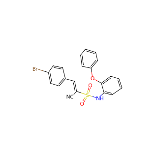 N#C/C(=C\c1ccc(Br)cc1)S(=O)(=O)Nc1ccccc1Oc1ccccc1